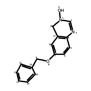 ON1C=Nc2ccc(OCc3ccccc3)cc2C1